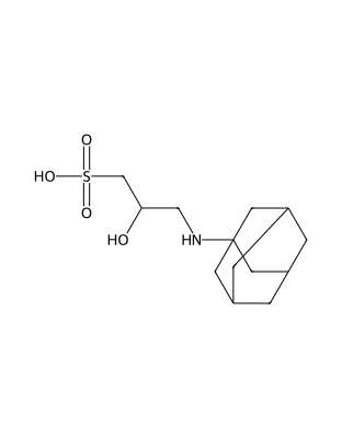 O=S(=O)(O)CC(O)CNC12CC3CC(CC(C3)C1)C2